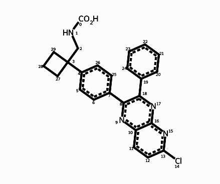 O=C(O)NCC1(c2ccc(-c3nc4ccc(Cl)nc4nc3-c3ccccc3)cc2)CCC1